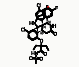 CCC(CC)(Oc1ccc(Cl)cc1[C@H]1CC(=O)N[C@@H](c2cc(F)ccc2C)[C@]12C(=O)Nc1cc(Cl)c(F)cc12)C(=O)NS(C)(=O)=O